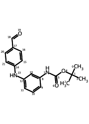 CC(C)(C)OC(=O)Nc1cccc(Nc2ccc(C=O)cc2)c1